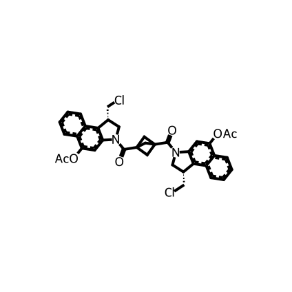 CC(=O)Oc1cc2c(c3ccccc13)[C@H](CCl)CN2C(=O)C12CC(C(=O)N3C[C@@H](CCl)c4c3cc(OC(C)=O)c3ccccc43)(C1)C2